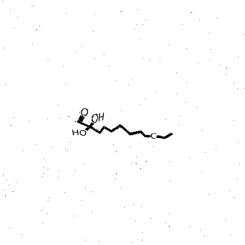 CCCCCCCCCCC(O)(O)[C]=O